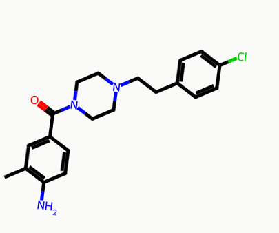 Cc1cc(C(=O)N2CCN(CCc3ccc(Cl)cc3)CC2)ccc1N